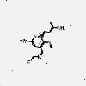 C=NC(/C=C\C=C(/C)N)=C(\C=N/CCl)/C=C(/CCC)NC